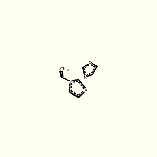 C=Cn1ccnc1.c1cocn1